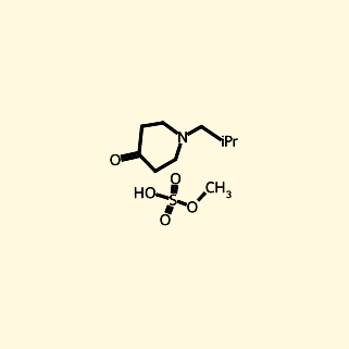 CC(C)CN1CCC(=O)CC1.COS(=O)(=O)O